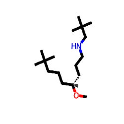 CO[C@@H](CCCNCC(C)(C)C)CCCC(C)(C)C